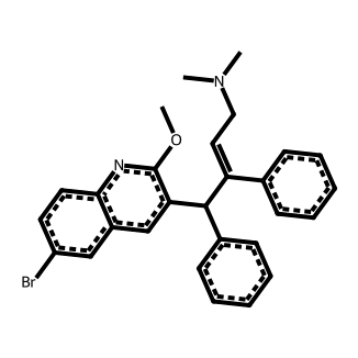 COc1nc2ccc(Br)cc2cc1C(/C(=C/CN(C)C)c1ccccc1)c1ccccc1